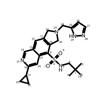 CC(C)(F)CNS(=O)(=O)c1c2c(cc3cnc(C4CC4)cc13)CN(Cc1ccn[nH]1)C2